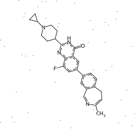 CC1=CCc2ccc(-c3cc(F)c4nc(C5CCN(C6CC6)CC5)[nH]c(=O)c4c3)cc2C=N1